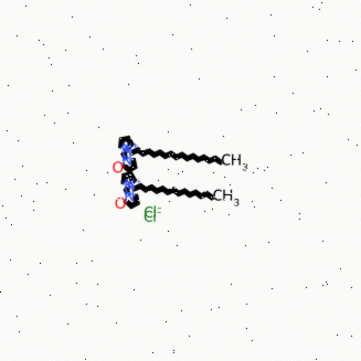 CCCCCCCCCCCCCCCCCC[N+]1(CN2CCCC2=O)CCCC1.CCCCCCCCCCCCCCCC[N+]1(CN2CCCC2=O)C=CC=C1.[Cl-].[Cl-]